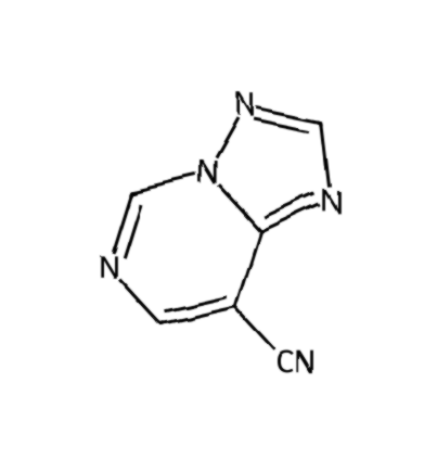 N#Cc1cncn2ncnc12